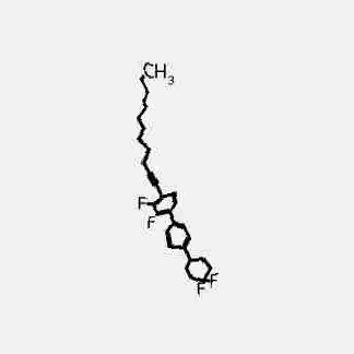 CCCCCCCCCCC#Cc1ccc(-c2ccc(C3CCC(F)(F)CC3)cc2)c(F)c1F